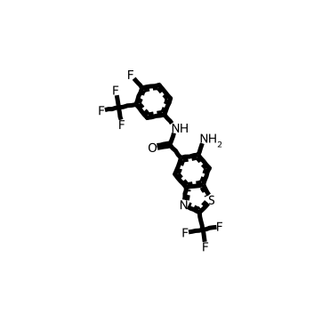 Nc1cc2sc(C(F)(F)F)nc2cc1C(=O)Nc1ccc(F)c(C(F)(F)F)c1